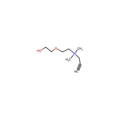 C#CC[N+](C)(C)CCOCCO